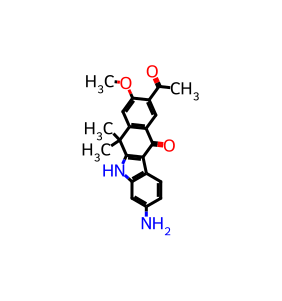 COc1cc2c(cc1C(C)=O)C(=O)c1c([nH]c3cc(N)ccc13)C2(C)C